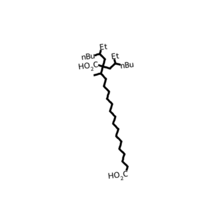 CCCCC(CC)CC(CC(CC)CCCC)(C(=O)O)C(C)CCCCCCCCCCCCCCCC(=O)O